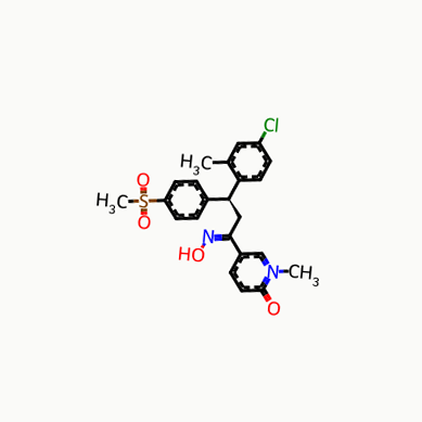 Cc1cc(Cl)ccc1[C@@H](CC(=NO)c1ccc(=O)n(C)c1)c1ccc(S(C)(=O)=O)cc1